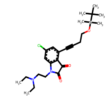 CCN(CC)CCN1C(=O)C(=O)c2c(C#CCCO[Si](C)(C)C(C)(C)C)cc(Cl)cc21